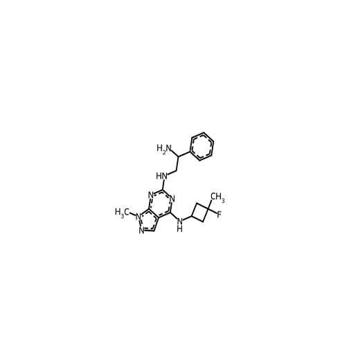 Cn1ncc2c(NC3CC(C)(F)C3)nc(NCC(N)c3ccccc3)nc21